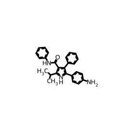 CC(C)c1[nH]c(-c2ccc(N)cc2)c(-c2ccccc2)c1C(=O)Nc1ccccc1